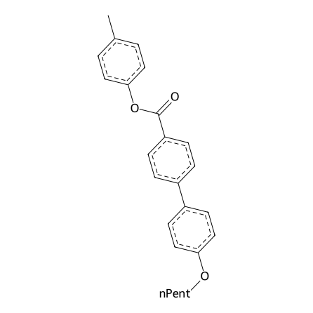 CCCCCOc1ccc(-c2ccc(C(=O)Oc3ccc(C)cc3)cc2)cc1